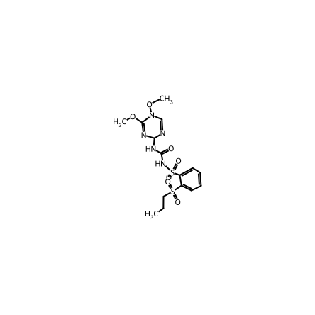 CCCS(=O)(=O)c1ccccc1S(=O)(=O)NC(=O)NC1N=CN(OC)C(OC)=N1